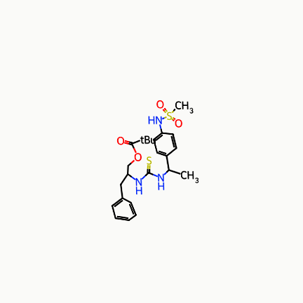 CC(NC(=S)NC(COC(=O)C(C)(C)C)Cc1ccccc1)c1ccc(NS(C)(=O)=O)cc1